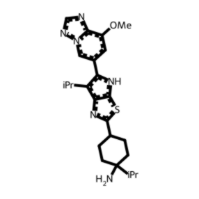 COc1cc(-c2[nH]c3sc(C4CCC(N)(C(C)C)CC4)nc3c2C(C)C)cn2ncnc12